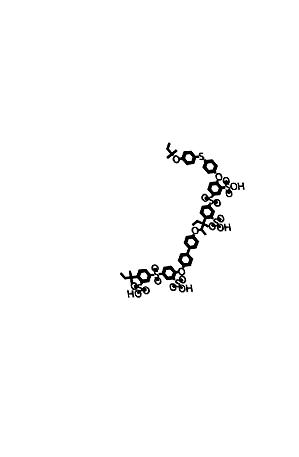 CCC(C)(C)Oc1ccc(Sc2ccc(Oc3ccc(S(=O)(=O)c4ccc(C(C)(CC)C(C)Oc5ccc(-c6ccc(Oc7ccc(S(=O)(=O)c8ccc(C(C)(C)CC)c(S(=O)(=O)O)c8)cc7S(=O)(=O)O)cc6)cc5)c(S(=O)(=O)O)c4)cc3S(=O)(=O)O)cc2)cc1